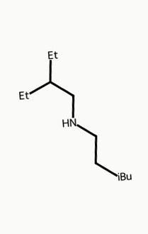 CCC(C)CCNCC(CC)CC